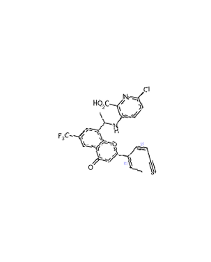 C#C/C=C\C(=C/C)c1cc(=O)c2cc(C(F)(F)F)cc(C(C)Nc3ccc(Cl)nc3C(=O)O)c2o1